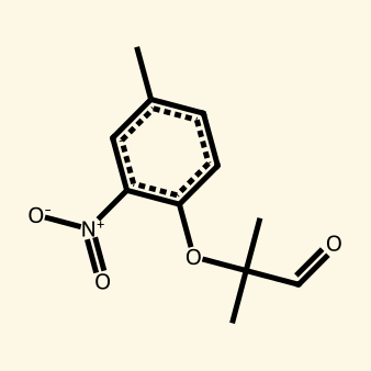 Cc1ccc(OC(C)(C)C=O)c([N+](=O)[O-])c1